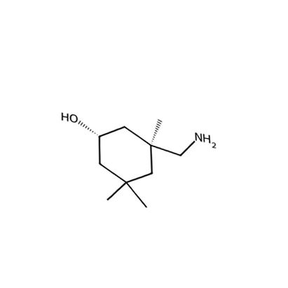 CC1(C)C[C@H](O)C[C@@](C)(CN)C1